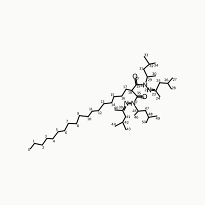 CCCCCCCCCCCCCCCCCCC(C(=O)N(N=C(C)CC(C)C)C(C)CC(C)C)C(=O)N(N=C(C)CC(C)C)C(C)CC(C)C